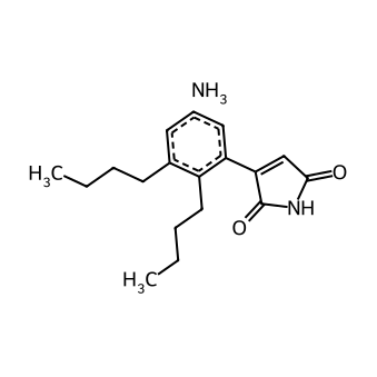 CCCCc1cccc(C2=CC(=O)NC2=O)c1CCCC.N